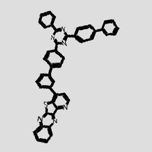 c1ccc(-c2ccc(-c3nc(-c4ccccc4)nc(-c4ccc(-c5cccc(-c6ccnc7c6sc6nc8ccccc8nc67)c5)cc4)n3)cc2)cc1